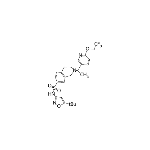 CC(c1ccc(OCC(F)(F)F)nc1)N1CCc2ccc(S(=O)(=O)Nc3cc(C(C)(C)C)on3)cc2C1